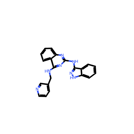 c1cncc(CNc2nc(Nc3n[nH]c4ccccc34)nc3ccccc23)c1